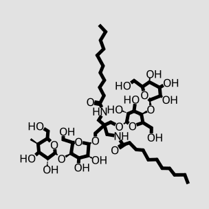 CCCCCCCCCCC(=O)NCC(CNC(=O)CCCCCCCCCC)(CO[C@H]1OC(CO)[C@H](O[C@H]2OC(CO)[C@H](C)C(O)[C@H]2O)C(O)[C@H]1O)CO[C@H]1OC(CO)[C@H](O[C@H]2OC(CO)[C@H](O)C(O)[C@H]2O)C(O)[C@H]1O